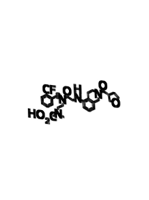 CN(CCN(Cc1ccccc1C(F)(F)F)C(=O)CNc1cccc2c1CCN(C(=O)[C@H]1CCOC1)C2)C(=O)O